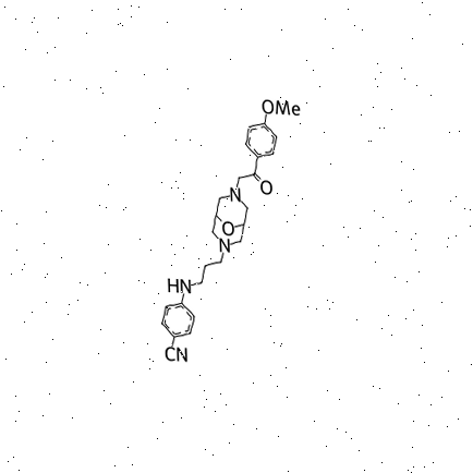 COc1ccc(C(=O)CN2CC3CN(CCCNc4ccc(C#N)cc4)CC(C2)O3)cc1